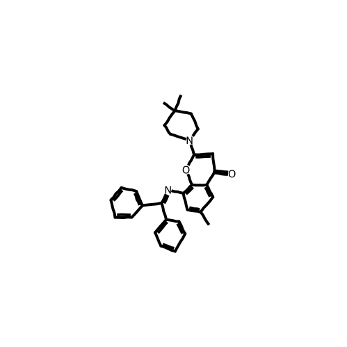 Cc1cc(N=C(c2ccccc2)c2ccccc2)c2oc(N3CCC(C)(C)CC3)cc(=O)c2c1